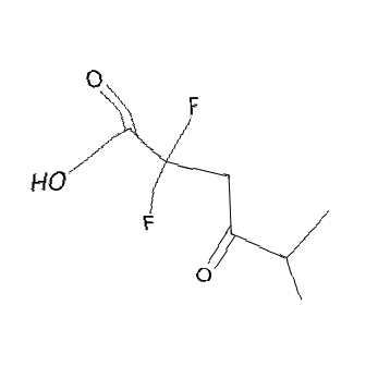 CC(C)C(=O)CC(F)(F)C(=O)O